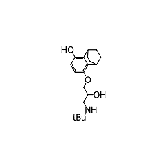 CC(C)(C)NCC(O)COc1ccc(O)c2c1C1CCC2CC1